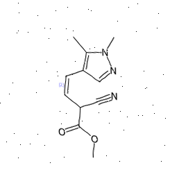 COC(=O)C(C#N)/C=C\c1cnn(C)c1C